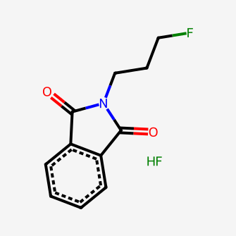 F.O=C1c2ccccc2C(=O)N1CCCF